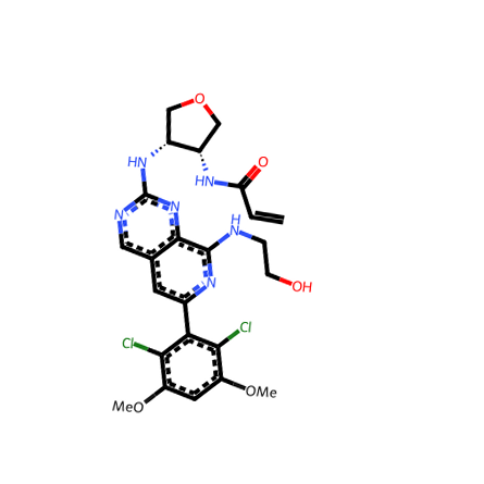 C=CC(=O)N[C@H]1COC[C@H]1Nc1ncc2cc(-c3c(Cl)c(OC)cc(OC)c3Cl)nc(NCCO)c2n1